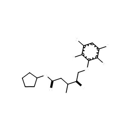 CC(CC(=O)OC1CCCC1)C(=O)COc1c(F)c(F)cc(F)c1F